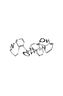 O=C(c1cccc2ncccc12)N1CC[C@](O)(c2ccccc2)[C@H]2CCCC[C@H]21